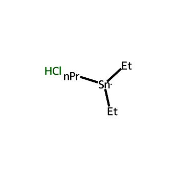 CC[CH2][Sn]([CH2]C)[CH2]C.Cl